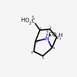 O=C(O)C1CCC2CCC1N2C(=O)O